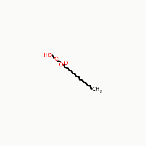 CCCCCCCCCCCCCCCCC(=O)OCCOCCO